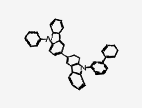 C1=CCCC(N2C3=CC=C(C4=CC5=C(CC4)N(c4cccc(C6=CCCC=C6)c4)C4C=CC=CC54)CC3C3C=CC=CC32)=C1